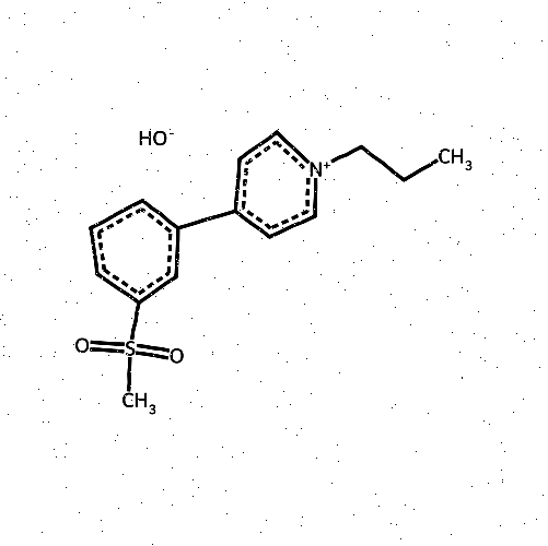 CCC[n+]1ccc(-c2cccc(S(C)(=O)=O)c2)cc1.[OH-]